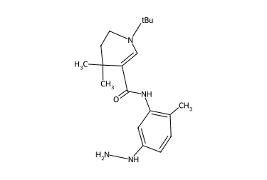 Cc1ccc(NN)cc1NC(=O)C1=CN(C(C)(C)C)CCC1(C)C